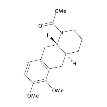 COC(=O)N1CCC[C@H]2Cc3c(ccc(OC)c3OC)C[C@@H]21